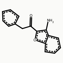 Nc1c(C(=O)Cc2ccccc2)oc2ccccc12